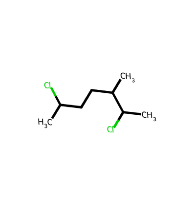 CC(Cl)CCC(C)C(C)Cl